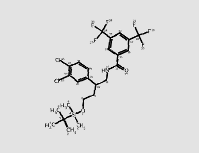 CC(C)(C)[Si](C)(C)OCCC(CNC(=O)c1cc(C(F)(F)F)cc(C(F)(F)F)c1)c1ccc(Cl)c(Cl)c1